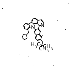 CC(C)(C)Cc1ccc2cc3c(cc2c1)c1nccc2ccc4c5cccc(CC6CCCC6)c5n3c4c21